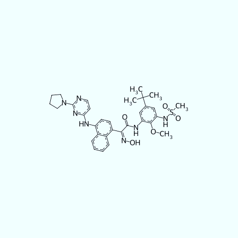 COc1c(NC(=O)C(=NO)c2ccc(Nc3ccnc(N4CCCC4)n3)c3ccccc23)cc(C(C)(C)C)cc1NS(C)(=O)=O